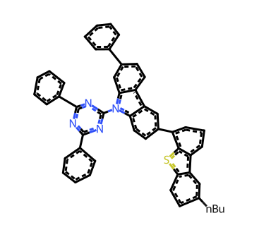 CCCCc1ccc2sc3c(-c4ccc5c(c4)c4ccc(-c6ccccc6)cc4n5-c4nc(-c5ccccc5)nc(-c5ccccc5)n4)cccc3c2c1